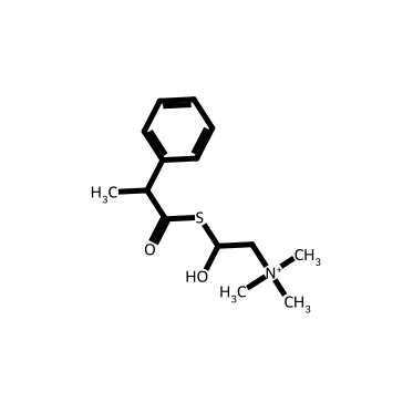 CC(C(=O)SC(O)C[N+](C)(C)C)c1ccccc1